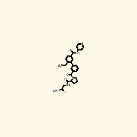 COC(=O)CNC(=O)C1CCCN1C(=O)c1cccc(-c2cc(C(=O)Nc3ccncc3)ccc2CN)c1